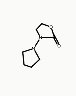 O=C1OCCN1N1CCCC1